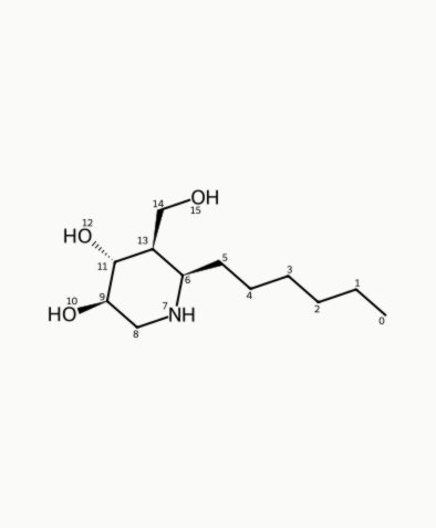 CCCCCC[C@H]1NC[C@@H](O)[C@H](O)[C@H]1CO